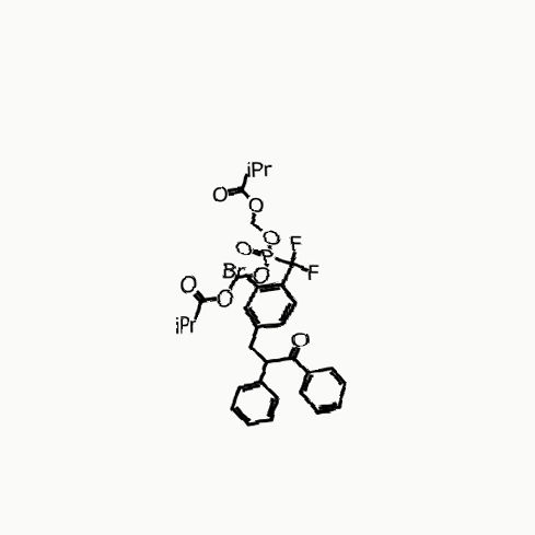 CC(C)C(=O)OCOP(=O)(OCOC(=O)C(C)C)C(F)(F)c1ccc(CC(C(=O)c2ccccc2)c2ccccc2)cc1Br